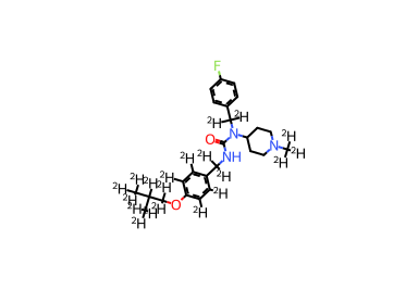 [2H]c1c([2H])c(C([2H])([2H])NC(=O)N(C2CCN(C([2H])([2H])[2H])CC2)C([2H])([2H])c2ccc(F)cc2)c([2H])c([2H])c1OC([2H])([2H])C([2H])(C([2H])([2H])[2H])C([2H])([2H])[2H]